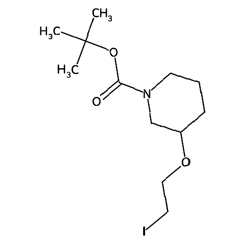 CC(C)(C)OC(=O)N1CCCC(OCCI)C1